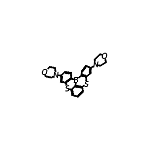 c1cc2c3c(c1)Sc1cc(N4CCOCC4)ccc1B3c1ccc(N3CCOCC3)cc1S2